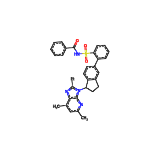 CCc1nc2c(C)cc(C)nc2n1C1CCc2cc(-c3ccccc3S(=O)(=O)NC(=O)c3ccccc3)ccc21